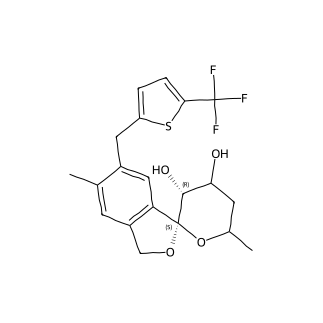 Cc1cc2c(cc1Cc1ccc(C(F)(F)F)s1)[C@]1(OC2)OC(C)CC(O)[C@H]1O